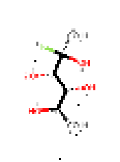 O=C(O)[C@@H](O)[C@@H](O)[C@H](O)[C@](O)(F)C(=O)O